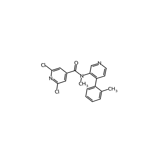 Cc1ccccc1-c1ccncc1N(C)C(=O)c1cc(Cl)nc(Cl)c1